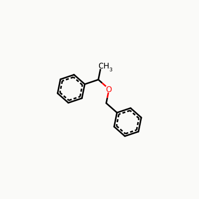 CC(OCc1ccccc1)c1ccccc1